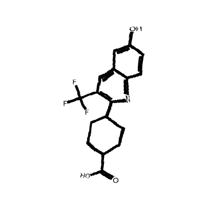 O=C(O)C1CCC(c2nc3ccc(O)cc3cc2C(F)(F)F)CC1